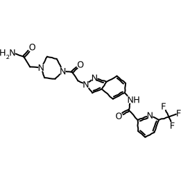 NC(=O)CN1CCN(C(=O)Cn2cc3cc(NC(=O)c4cccc(C(F)(F)F)n4)ccc3n2)CC1